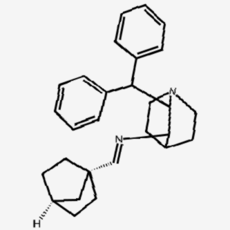 c1ccc(C(c2ccccc2)C2C(N=C[C@]34CC[C@H](CC3)C4)C3CCN2CC3)cc1